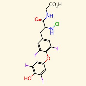 O=C(O)CNC(=O)C(Cc1cc(I)c(Oc2cc(I)c(O)c(I)c2)c(I)c1)NCl